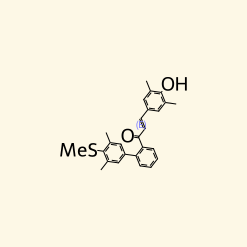 CSc1c(C)cc(-c2ccccc2C(=O)/C=C/c2cc(C)c(O)c(C)c2)cc1C